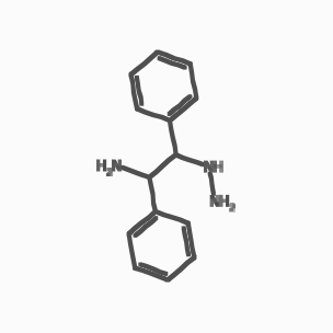 NNC(c1ccccc1)C(N)c1ccccc1